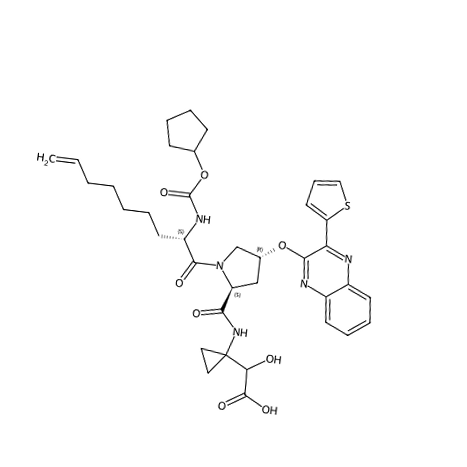 C=CCCCCC[C@H](NC(=O)OC1CCCC1)C(=O)N1C[C@H](Oc2nc3ccccc3nc2-c2cccs2)C[C@H]1C(=O)NC1(C(O)C(=O)O)CC1